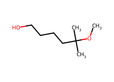 COC(C)(C)CCCCO